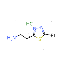 CCc1nnc(CCN)s1.Cl